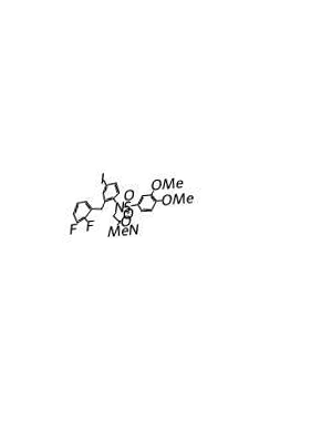 CNC(=O)CN(c1ccc(I)cc1Cc1cccc(F)c1F)S(=O)(=O)c1ccc(OC)c(OC)c1